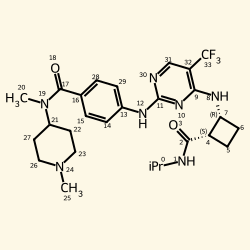 CC(C)NC(=O)[C@H]1CC[C@H]1Nc1nc(Nc2ccc(C(=O)N(C)C3CCN(C)CC3)cc2)ncc1C(F)(F)F